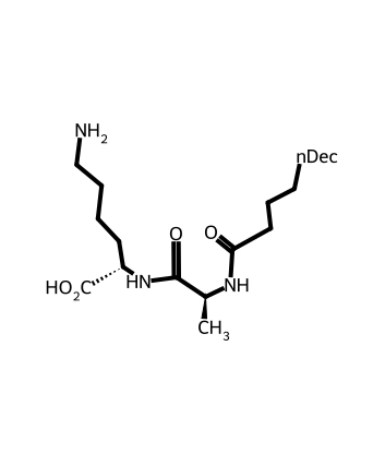 CCCCCCCCCCCCCC(=O)N[C@@H](C)C(=O)N[C@@H](CCCCN)C(=O)O